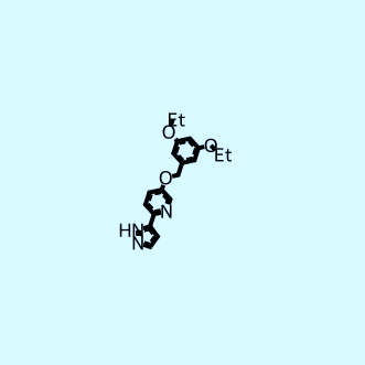 CCOc1cc(COc2ccc(-c3ccn[nH]3)nc2)cc(OCC)c1